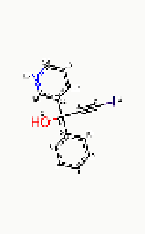 OC(C#CI)(c1ccccc1)c1cccnc1